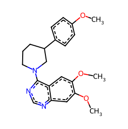 COc1ccc(C2CCCN(c3ncnc4cc(OC)c(OC)cc34)C2)cc1